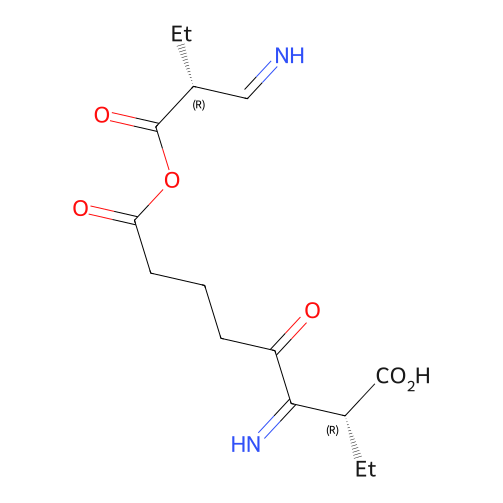 CC[C@H](C(=N)C(=O)CCCC(=O)OC(=O)[C@@H](C=N)CC)C(=O)O